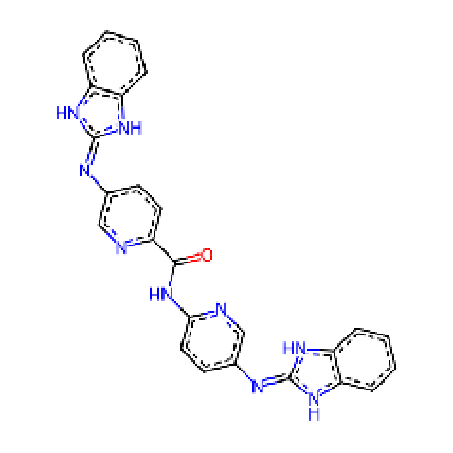 O=C(Nc1ccc(N=c2[nH]c3ccccc3[nH]2)cn1)c1ccc(N=c2[nH]c3ccccc3[nH]2)cn1